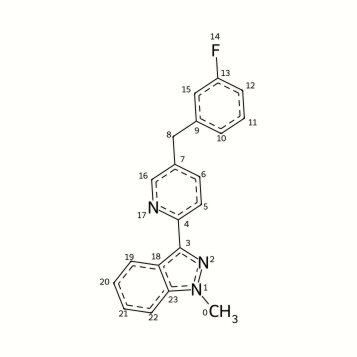 Cn1nc(-c2ccc(Cc3cccc(F)c3)cn2)c2ccccc21